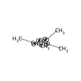 CCCCCCCCCCCCCOC(=O)CCN(CCCN(C)CCCN(CCC(=O)OCCCCCCCCCCCCC)CCC(=O)OCCCCCCCCCCCCC)CCC(=O)OC